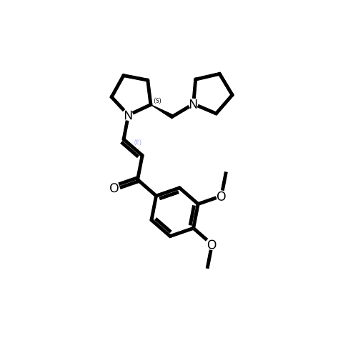 COc1ccc(C(=O)/C=C/N2CCC[C@H]2CN2CCCC2)cc1OC